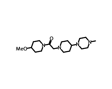 COC1CCN(C(=O)CN2CCC(N3CCN(C)CC3)CC2)CC1